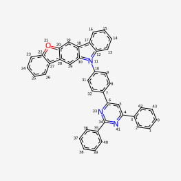 c1ccc(-c2cc(-c3ccc(-n4c5ccccc5c5cc6oc7ccccc7c6cc54)cc3)nc(-c3ccccc3)n2)cc1